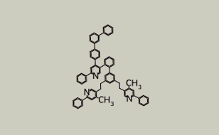 Cc1cc(-c2ccccc2)ncc1CCc1cc(CCc2cnc(-c3ccccc3)cc2C)cc(-c2ccccc2-c2cnc(-c3ccccc3)cc2-c2ccc(-c3cccc(-c4ccccc4)c3)cc2)c1